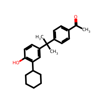 CC(=O)c1ccc(C(C)(C)c2ccc(O)c(C3CCCCC3)c2)cc1